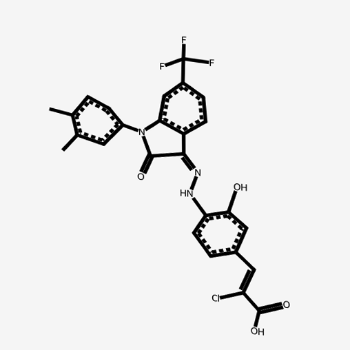 Cc1ccc(N2C(=O)C(=NNc3ccc(C=C(Cl)C(=O)O)cc3O)c3ccc(C(F)(F)F)cc32)cc1C